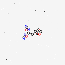 c1cc(-c2cc(-c3nc4ccncc4o3)cc(-c3nc4ccncc4o3)c2)cc(-c2ccc3c(c2)C2(c4ccccc4Oc4ccccc42)c2ccccc2-3)c1